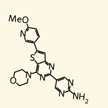 COc1ccc(-c2cc3nc(-c4cnc(N)nc4)nc(N4CCOCC4)c3s2)cn1